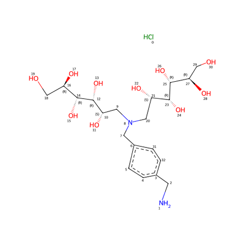 Cl.NCc1ccc(CN(C[C@H](O)[C@@H](O)[C@H](O)[C@H](O)CO)C[C@H](O)[C@@H](O)[C@H](O)[C@H](O)CO)cc1